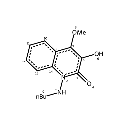 CCCCNn1c(=O)c(O)c(OC)c2ccccc21